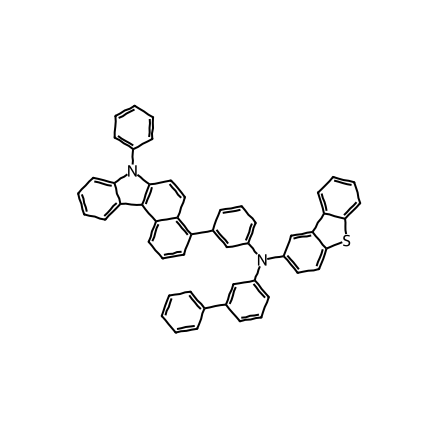 c1ccc(-c2cccc(N(c3cccc(-c4cccc5c4ccc4c5c5ccccc5n4-c4ccccc4)c3)c3ccc4sc5ccccc5c4c3)c2)cc1